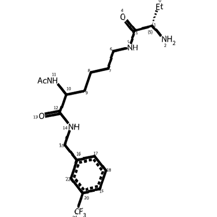 CC[C@H](N)C(=O)NCCCCC(NC(C)=O)C(=O)NCc1cccc(C(F)(F)F)c1